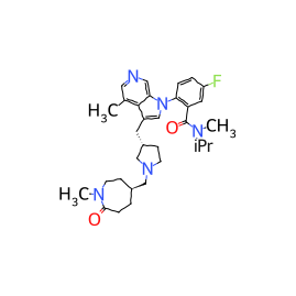 Cc1cncc2c1c(C[C@@H]1CCN(C[C@H]3CCC(=O)N(C)CC3)C1)cn2-c1ccc(F)cc1C(=O)N(C)C(C)C